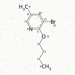 CCCCOc1ncc(C)cc1Br